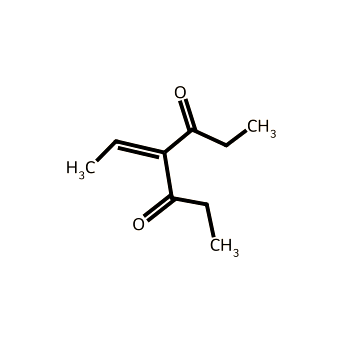 CC=C(C(=O)CC)C(=O)CC